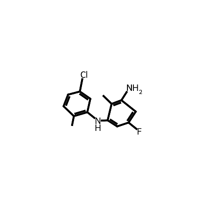 Cc1ccc(Cl)cc1Nc1cc(F)cc(N)c1C